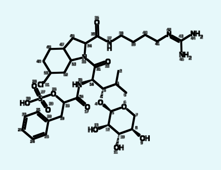 CC(C)[C@H](O[C@H]1OC[C@@H](O)[C@H](O)[C@H]1O)[C@@H](NC(=O)C(Cc1ccccc1)OS(=O)(=O)O)C(=O)N1C(C(=O)NCCCCN=C(N)N)CC2CCC(Cl)CC21